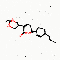 CCCC1CCC(C2CCC(C3COC(C)OC3)C(=O)O2)CC1